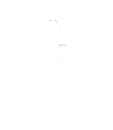 C=C(C)COC(=O)CCCCCCCCC